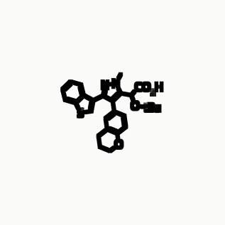 Cn1nc(-c2csc3ccccc23)c(-c2ccc3c(c2)CCCO3)c1C(OC(C)(C)C)C(=O)O